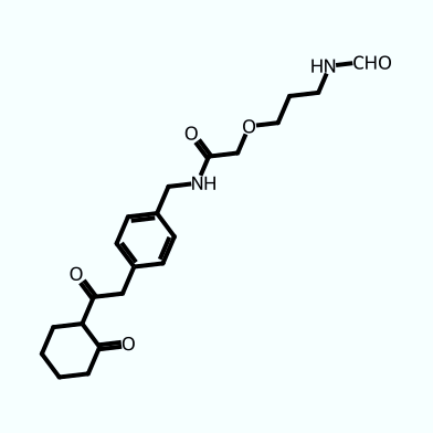 O=CNCCCOCC(=O)NCc1ccc(CC(=O)C2CCCCC2=O)cc1